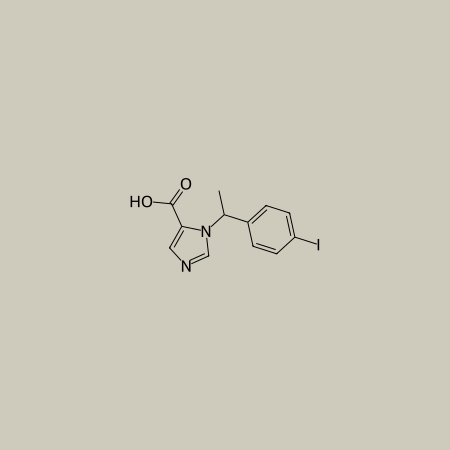 CC(c1ccc(I)cc1)n1cncc1C(=O)O